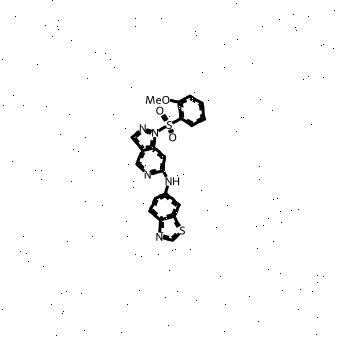 COc1ccccc1S(=O)(=O)n1ncc2cnc(Nc3ccc4ncsc4c3)cc21